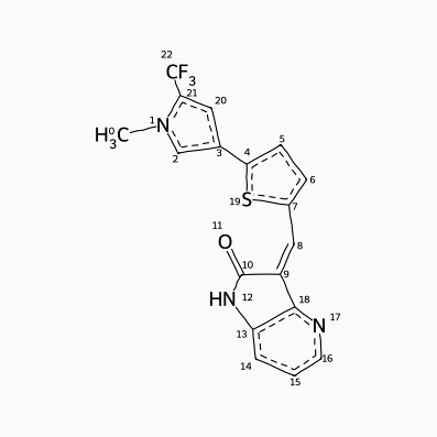 Cn1cc(-c2ccc(C=C3C(=O)Nc4cccnc43)s2)cc1C(F)(F)F